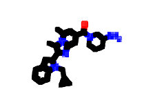 Cc1cc(C(=O)N2CCCC(N)C2)cc2nc(-c3cc4ccccc4n3CC3CC3)c(C)n12